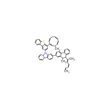 C=C/C=C\C=C(/C)C1c2ccccc2-c2ccc(-c3ccc4c(c3)N(c3cc(C5=C/C(C)/C=C\C=C/C/C=C\5)c5sc6ccccc6c5c3)C3C=CC=CC43)cc2C1C